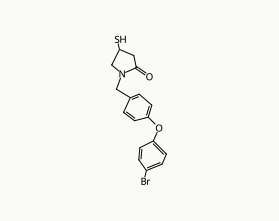 O=C1CC(S)CN1Cc1ccc(Oc2ccc(Br)cc2)cc1